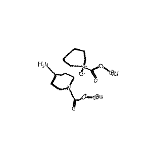 CC(C)(C)OC(=O)N1CCC(N)CC1.CC(C)(C)OC(=O)[N+]1([O-])CCCCC1